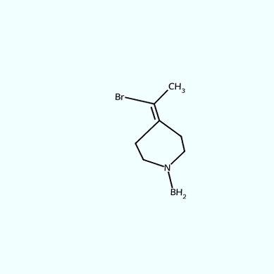 BN1CCC(=C(C)Br)CC1